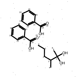 CCCC(C)C(O)(O)I.O=C(O)c1ccccc1.O=C(O)c1ccccc1